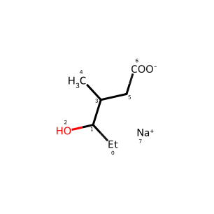 CCC(O)C(C)CC(=O)[O-].[Na+]